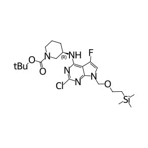 CC(C)(C)OC(=O)N1CCC[C@@H](Nc2nc(Cl)nc3c2c(F)cn3COCC[Si](C)(C)C)C1